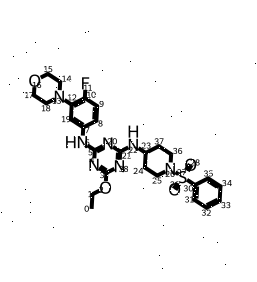 CCOc1nc(Nc2ccc(F)c(N3CCOCC3)c2)nc(NC2CCN(S(=O)(=O)c3ccccc3)CC2)n1